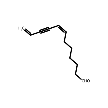 C=CC#C/C=C\CCCCCC=O